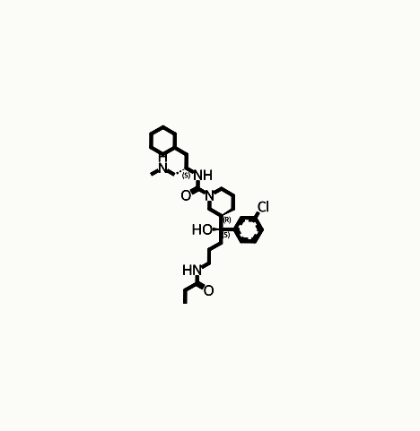 CCC(=O)NCCC[C@@](O)(c1cccc(Cl)c1)[C@@H]1CCCN(C(=O)N[C@H](CNC)CC2CCCCC2)C1